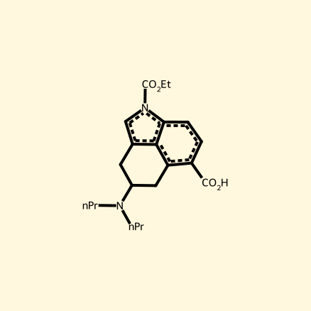 CCCN(CCC)C1Cc2cn(C(=O)OCC)c3ccc(C(=O)O)c(c23)C1